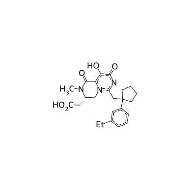 CCc1cccc(C2(Cc3nc(=O)c(O)c4n3C[C@H](CC(=O)O)N(C)C4=O)CCCC2)c1